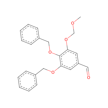 COCOc1cc(C=O)cc(OCc2ccccc2)c1OCc1ccccc1